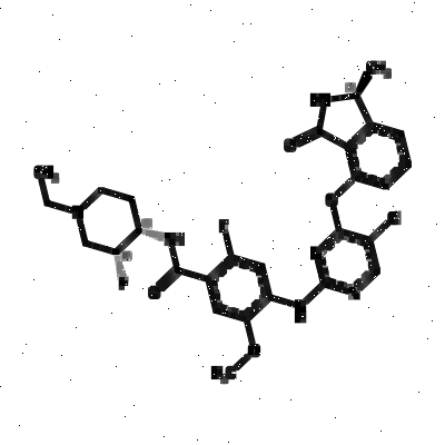 CCN1CC[C@H](NC(=O)c2cc(OC)c(Nc3ncc(Cl)c(Oc4cccc5c4C(=O)N[C@H]5C)n3)cc2F)[C@H](F)C1